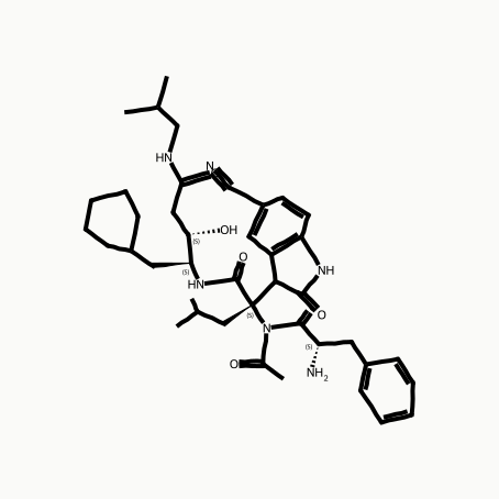 CC(=O)N(C(=O)[C@@H](N)Cc1ccccc1)[C@](CC(C)C)(C(=O)N[C@@H](CC1CCCCC1)[C@@H](O)CC(=O)NCC(C)C)C1C(=O)Nc2ccc(C#N)cc21